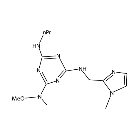 CCCNc1nc(NCc2nccn2C)nc(N(C)OC)n1